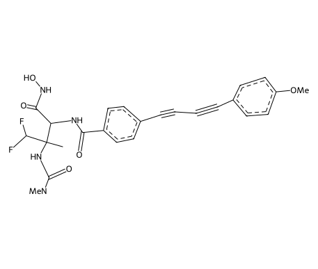 CNC(=O)NC(C)(C(F)F)C(NC(=O)c1ccc(C#CC#Cc2ccc(OC)cc2)cc1)C(=O)NO